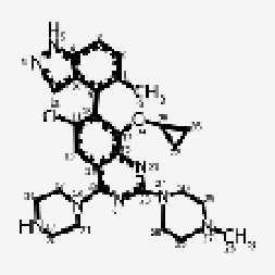 Cc1ccc2[nH]ncc2c1-c1c(Cl)cc2c(N3CCNCC3)nc(N3CCN(C)CC3)nc2c1OC1CC1